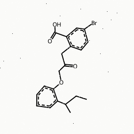 CCC(C)c1ccccc1OCC(=O)Cc1ccc(Br)cc1C(=O)O